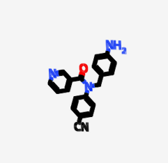 N#Cc1ccc(N(Cc2ccc(N)cc2)C(=O)c2cccnc2)cc1